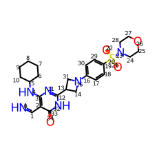 N=Cc1c(NC2CCCCC2)nc(C2CN(c3ccc(S(=O)(=O)N4CCOCC4)cc3)C2)[nH]c1=O